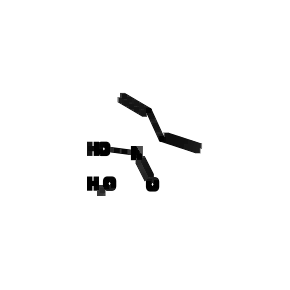 C=CC=C.O.O=NO